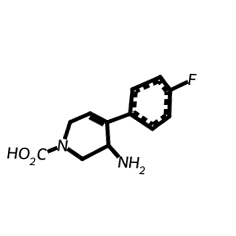 NC1CN(C(=O)O)CC=C1c1ccc(F)cc1